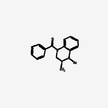 CC(=O)N1c2ccccc2N(C(=O)c2ccccc2)C[C@@H]1C